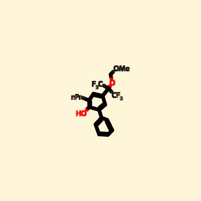 CCCc1cc(C(OCOC)(C(F)(F)F)C(F)(F)F)cc(-c2ccccc2)c1O